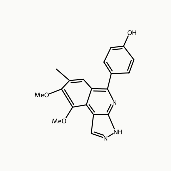 COc1c(C)cc2c(-c3ccc(O)cc3)nc3[nH]ncc3c2c1OC